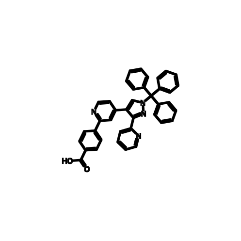 O=C(O)c1ccc(-c2cc(-c3cn(C(c4ccccc4)(c4ccccc4)c4ccccc4)nc3-c3ccccn3)ccn2)cc1